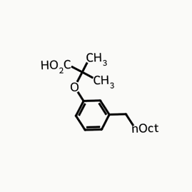 CCCCCCCCCc1cccc(OC(C)(C)C(=O)O)c1